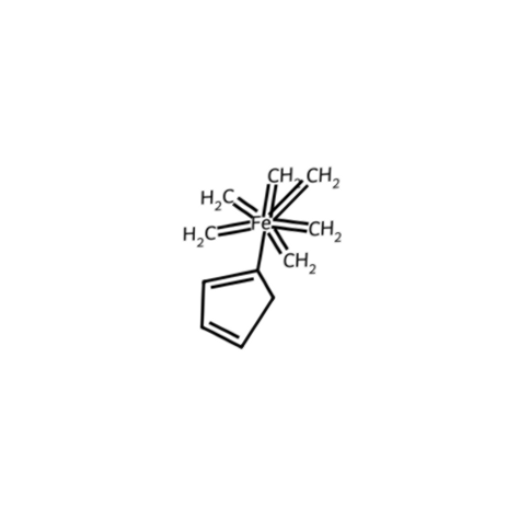 [CH2]=[Fe](=[CH2])(=[CH2])(=[CH2])(=[CH2])(=[CH2])[C]1=CC=CC1